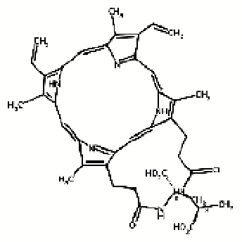 C=CC1=C(C)c2cc3[nH]c(cc4nc(cc5[nH]c(cc1n2)c(C)c5CCC(=O)N[C@@H](C)C(=O)O)C(CCC(=O)N[C@@H](C)C(=O)O)=C4C)c(C)c3C=C